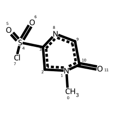 Cn1cc(S(=O)(=O)Cl)ncc1=O